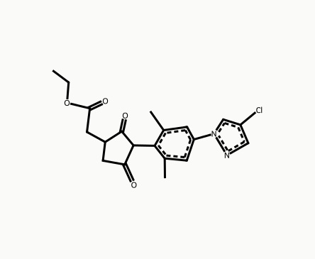 CCOC(=O)CC1CC(=O)C(c2c(C)cc(-n3cc(Cl)cn3)cc2C)C1=O